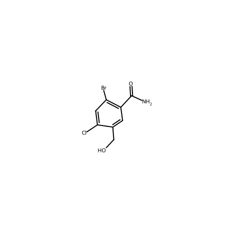 NC(=O)c1cc(CO)c(Cl)cc1Br